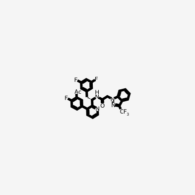 CC(=O)c1cc(-c2cccnc2[C@H](Cc2cc(F)cc(F)c2)NC(=O)Cn2nc(C(F)(F)F)c3ccccc32)ccc1F